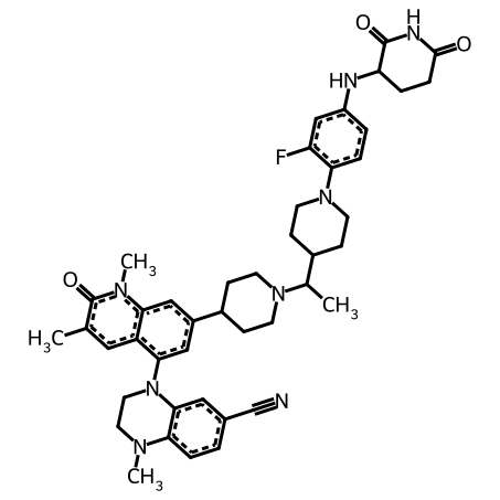 Cc1cc2c(N3CCN(C)c4ccc(C#N)cc43)cc(C3CCN(C(C)C4CCN(c5ccc(NC6CCC(=O)NC6=O)cc5F)CC4)CC3)cc2n(C)c1=O